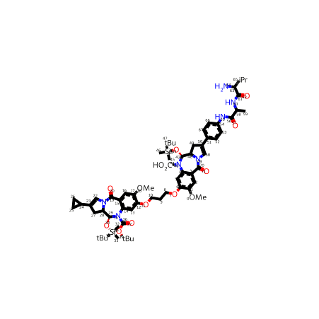 COc1cc2c(cc1OCCCOc1cc3c(cc1OC)C(=O)N1C=C(C4CC4)CC1[C@H](O[Si](C)(C)C(C)(C)C)N3C(=O)OC(C)(C)C)N(C(=O)O)[C@@H](O[Si](C)(C)C(C)(C)C)C1CC(c3ccc(NC(=O)C(C)NC(=O)C(N)C(C)C)cc3)=CN1C2=O